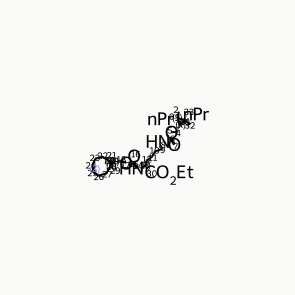 CCC[C@@]1(C)[C@@H](COC(=O)NCCCC[C@@H](NC(=O)OC[C@@H]2[C@]3(C)CC/C=C\CC[C@]23C)C(=O)OCC)[C@@]1(C)CCC